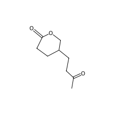 CC(=O)CCC1CCC(=O)OC1